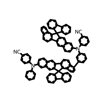 N#Cc1ccc(N(c2ccccc2)c2ccc3cc4c(cc3c2)C2(c3ccccc3-c3ccccc32)c2c-4ccc3c(-c4cccc(N(c5cccc(C#N)c5)c5ccc6cc7c(cc6c5)C5(c6ccccc6-c6ccccc65)c5c-7ccc6ccccc56)c4)cccc23)cc1